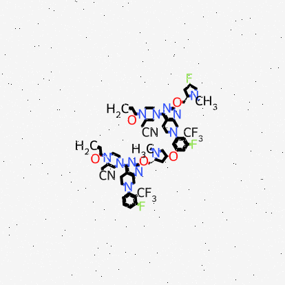 C=CC(=O)N1CCN(c2nc(OC[C@H]3C[C@H](F)CN3C)nc3c2CCN(c2cc(O[C@@H]4C[C@H](COc5nc6c(c(N7CCN(C(=O)C=C)C(CC#N)C7)n5)CCN(c5cccc(F)c5C(F)(F)F)C6)N(C)C4)cc(F)c2C(F)(F)F)C3)CC1CC#N